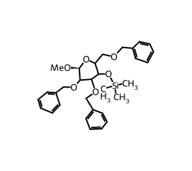 CO[C@H]1OC(COCc2ccccc2)C(O[Si](C)(C)C)C(OCc2ccccc2)C1OCc1ccccc1